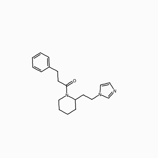 O=C(CCc1ccccc1)N1CCCCC1CCn1ccnc1